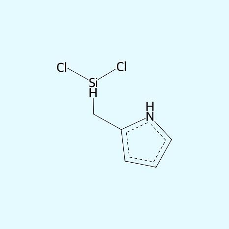 Cl[SiH](Cl)Cc1ccc[nH]1